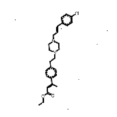 CCOC(=O)/C=C(\C)c1ccc(CCN2CCN(C/C=C/c3ccc(Cl)cc3)CC2)cc1